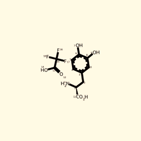 N[C@@H](Cc1ccc(O)c(O)c1)C(=O)O.O=C(O)C(F)(F)F